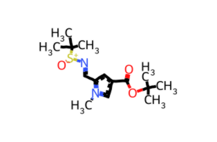 Cn1cc(C(=O)OC(C)(C)C)cc1C=N[S+]([O-])C(C)(C)C